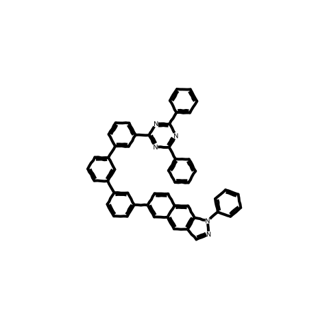 c1ccc(-c2nc(-c3ccccc3)nc(-c3cccc(-c4cccc(-c5cccc(-c6ccc7cc8c(cnn8-c8ccccc8)cc7c6)c5)c4)c3)n2)cc1